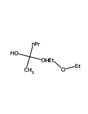 CCCC(C)(O)O.CCOCC